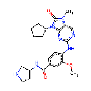 COc1cc(C(=O)N[C@@H]2CCNC2)ccc1Nc1ncc2c(n1)n(C1CCCC1)c(=O)n2C